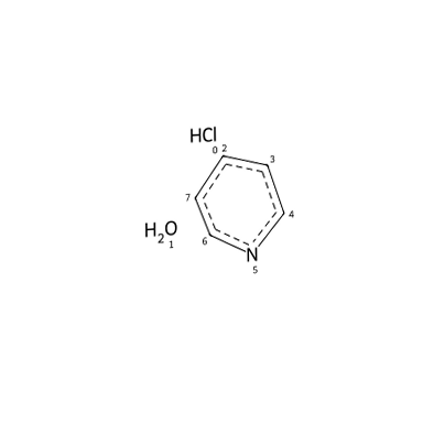 Cl.O.c1ccncc1